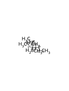 BC(C)(CC(C)CC)C(C)(/C=C/C)CC